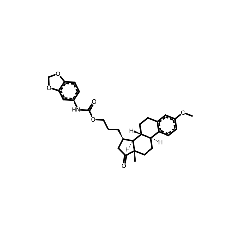 COc1ccc2c(c1)CC[C@H]1[C@@H]3[C@H](CCCOC(=O)Nc4ccc5c(c4)OCO5)CC(=O)[C@@]3(C)CC[C@H]21